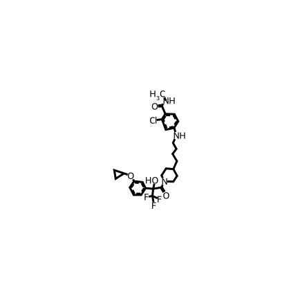 CNC(=O)c1ccc(NCCCCC2CCN(C(=O)C(O)(c3cccc(OC4CC4)c3)C(F)(F)F)CC2)cc1Cl